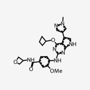 COc1cc(C(=O)NC2COC2)ccc1Nc1nc(OC2CCC2)c2c(-c3cnn(C)c3)c[nH]c2n1